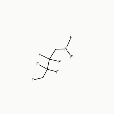 FCC(F)(F)C(F)(F)CN(F)F